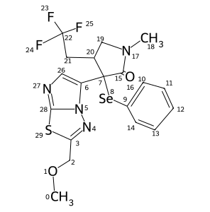 COCc1nn2c(C3([Se]c4ccccc4)C(=O)N(C)CC3CC(F)(F)F)cnc2s1